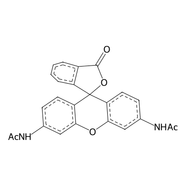 CC(=O)Nc1ccc2c(c1)Oc1cc(NC(C)=O)ccc1C21OC(=O)c2ccccc21